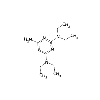 CCN(CC)c1cc(N)nc(N(CC)CC)n1